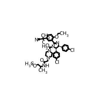 CCOc1ccc(C(C)(C)C#N)cc1C1=N[C@@H](c2ccc(Cl)cc2)[C@@H](c2ccc(Cl)cc2)N1C(=O)N1CCN(CC(=O)NC(C)COC)CC1